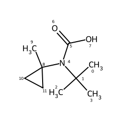 CC(C)(C)N(C(=O)O)C1(C)CC1